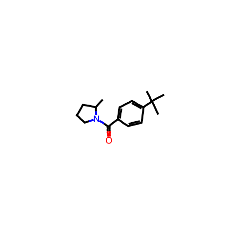 CC1CCCN1C(=O)c1ccc(C(C)(C)C)cc1